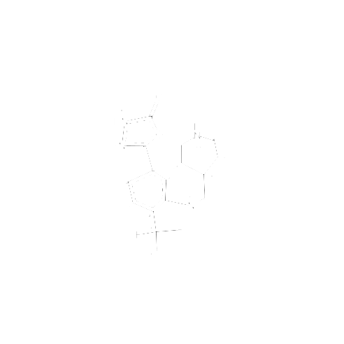 C[C@H](Nc1cc(-c2n[nH]c(=O)o2)ccc1C(F)(F)F)C1CCNCC1